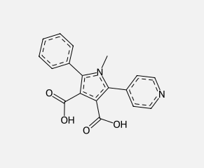 Cn1c(-c2ccccc2)c(C(=O)O)c(C(=O)O)c1-c1ccncc1